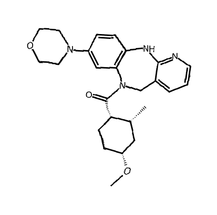 CO[C@@H]1CC[C@H](C(=O)N2Cc3cccnc3Nc3ccc(N4CCOCC4)cc32)[C@H](C)C1